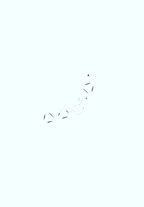 COc1ccccc1-c1ccc(N2CCCC(NC(=O)c3ccc([N+](=O)[O-])cc3)C2)nn1